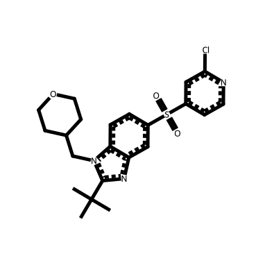 CC(C)(C)c1nc2cc(S(=O)(=O)c3ccnc(Cl)c3)ccc2n1CC1CCOCC1